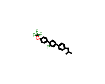 CC(C)Cc1ccc(-c2ccc(-c3ccc(OC(F)(F)F)cc3)c(F)c2)cc1